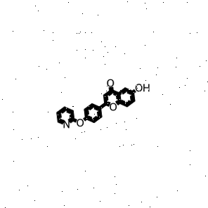 O=c1cc(-c2ccc(Oc3ccccn3)cc2)oc2ccc(O)cc12